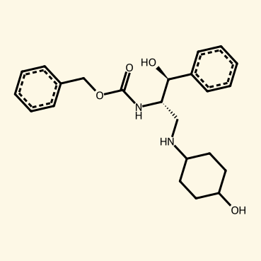 O=C(N[C@@H](CNC1CCC(O)CC1)[C@@H](O)c1ccccc1)OCc1ccccc1